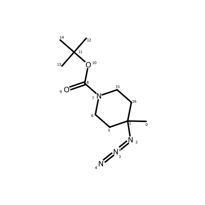 CC1(N=[N+]=[N-])CCN(C(=O)OC(C)(C)C)CC1